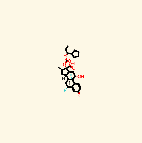 CCC(OC(=O)O[C@@]1(C(=O)O)[C@H](C)C[C@H]2[C@@H]3C[C@H](F)C4=CC(=O)C=C[C@]4(C)C3(F)[C@@H](O)C[C@@]21C)C1CCCC1